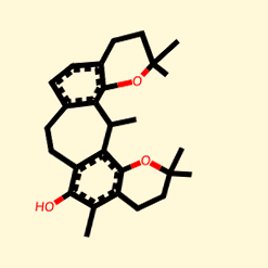 Cc1c(O)c2c(c3c1CCC(C)(C)O3)C(C)c1c(ccc3c1OC(C)(C)CC3)CC2